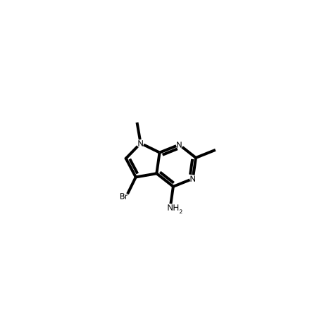 Cc1nc(N)c2c(Br)cn(C)c2n1